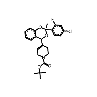 CC(C)(C)OC(=O)N1CC=C(C2O[C@@](C)(c3ccc(Cl)cc3F)Oc3ccccc32)CC1